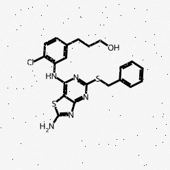 Nc1nc2nc(SCc3ccccc3)nc(Nc3cc(CCCO)ccc3Cl)c2s1